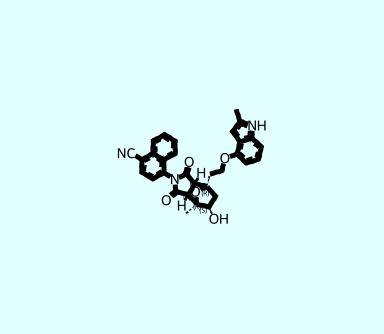 Cc1cc2c(OCC[C@]34C[C@H](O)[C@](C)(O3)[C@@H]3C(=O)N(c5ccc(C#N)c6ccccc56)C(=O)[C@@H]34)cccc2[nH]1